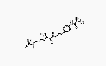 CC[C@H](N)C(=O)Nc1ccc(CCCNC(=O)[C@@H](N)CCCCNC(=N)N)cc1